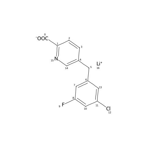 O=C([O-])c1ccc(Cc2cc(F)cc(Cl)c2)cn1.[Li+]